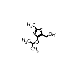 Cc1nc(OC(C)C)c(CO)s1